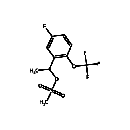 CC(OS(C)(=O)=O)c1cc(F)ccc1OC(F)(F)F